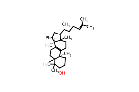 CC(C)=CCC[C@@H](C)[C@@H]1CC[C@]2(C)C3=C(CC[C@@]12C)[C@@]1(C)CC[C@H](O)C(C)(C)[C@@H]1CC3.[PbH2]